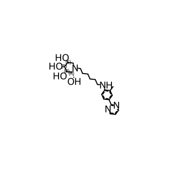 Cc1cc(-c2ncccn2)ccc1NCCCCCCN1C[C@H](O)[C@@H](O)[C@H](O)[C@H]1CO